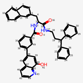 O=C(NC(Cc1ccc2ccccc2c1)C(=O)NCCC(c1ccccc1)c1ccccc1)c1cccc(-c2cc(O)c3ncccc3c2)c1